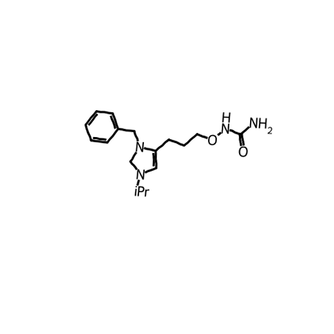 CC(C)N1C=C(CCCONC(N)=O)N(Cc2ccccc2)C1